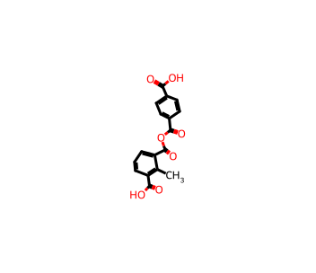 Cc1c(C(=O)O)cccc1C(=O)OC(=O)c1ccc(C(=O)O)cc1